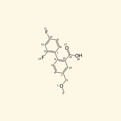 COCc1ccc(-c2ccc(F)cc2F)c(C(=O)O)c1